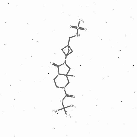 CC(C)(C)OC(=O)N1CCN2C(=O)N(C34CC(CNS(C)(=O)=O)(C3)C4)C[C@@H]2C1